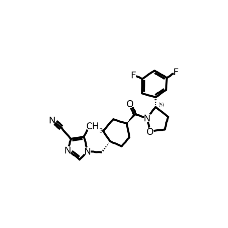 Cc1c(C#N)ncn1C[C@H]1CC[C@H](C(=O)N2OCC[C@H]2c2cc(F)cc(F)c2)CC1